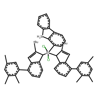 Cc1cc(C)c(C)c(-c2cccc3c2C=C(C(C)(C)C)[CH]3[Zr]([Cl])([Cl])([c]2cccc3c2[SiH2]c2ccccc2-3)[CH]2C(C(C)(C)C)=Cc3c(-c4cc(C)cc(C)c4C)cccc32)c1